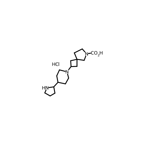 Cl.O=C(O)N1CCC2(CC(N3CCC(C4CCCN4)CC3)C2)C1